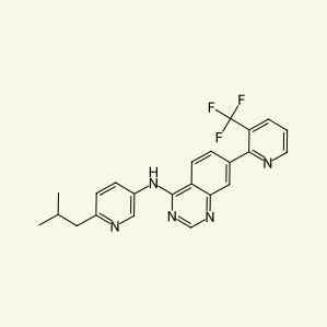 CC(C)Cc1ccc(Nc2ncnc3cc(-c4ncccc4C(F)(F)F)ccc23)cn1